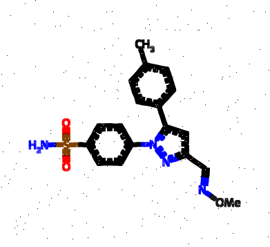 CON=Cc1cc(-c2ccc(C)cc2)n(-c2ccc(S(N)(=O)=O)cc2)n1